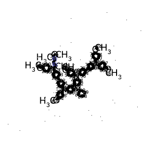 CO/C(C)=C/C=C(\C)N(c1ccc(OC)cc1)c1ccc(-c2ccc(N(c3ccc(OC)cc3)c3ccc4c(c3)c3cc(N(c5ccc(OC)cc5)c5ccc(-c6ccc(N(c7ccc(OC)cc7)c7ccc(OC)cc7)cc6)cc5)ccc3n4-c3ccccc3)cc2)cc1